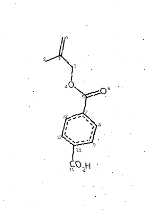 C=C(C)COC(=O)c1ccc(C(=O)O)cc1